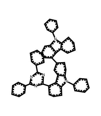 c1ccc(-c2nc(-c3ccccc3)nc(-c3cccc4c3c3cc(-c5cccc6c5c5ccccc5n6-c5ccccc5)ccc3n4-c3ccccc3)n2)cc1